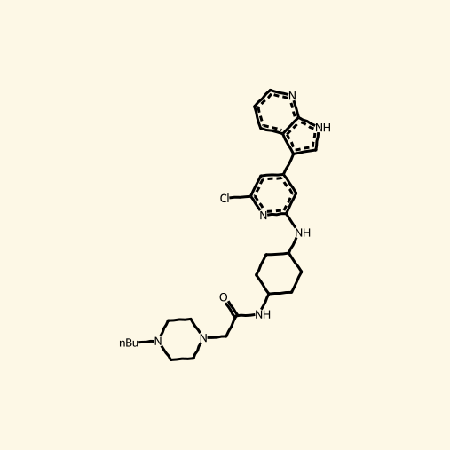 CCCCN1CCN(CC(=O)NC2CCC(Nc3cc(-c4c[nH]c5ncccc45)cc(Cl)n3)CC2)CC1